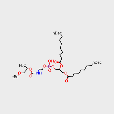 CCCCCCCCCCCCCCCCCC(=O)OCC(COP(=O)(O)OCCNC(=O)OC(C)COC(C)(C)C)OC(=O)CCCCCCCCCCCCCCCCC